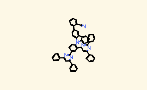 N#Cc1ccccc1-c1ccc2c(c1)c1ccccc1n2-c1ccc(-c2nc(-c3ccccc3)cc(-c3ccccc3)n2)cc1-c1cc(-c2ccccc2)nc(-c2ccccc2)n1